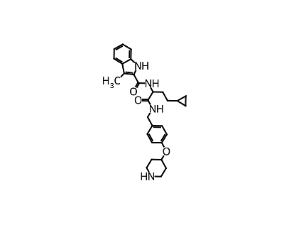 Cc1c(C(=O)NC(CCC2CC2)C(=O)NCc2ccc(OC3CCNCC3)cc2)[nH]c2ccccc12